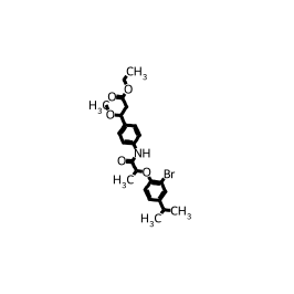 CCOC(=O)CC(OC)c1ccc(NC(=O)C(C)Oc2ccc(C(C)C)cc2Br)cc1